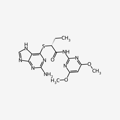 CC[C@@H](Sc1nc(N)nc2nc[nH]c12)C(=O)Nc1nc(OC)cc(OC)n1